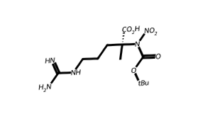 CC(C)(C)OC(=O)N([N+](=O)[O-])[C@@](C)(CCCNC(=N)N)C(=O)O